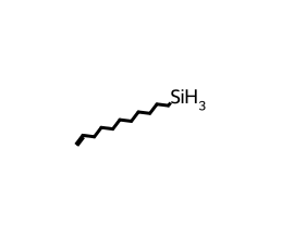 C=CCCCCCCCCC[SiH3]